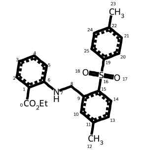 CCOC(=O)c1ccccc1NCc1cc(C)ccc1S(=O)(=O)c1ccc(C)cc1